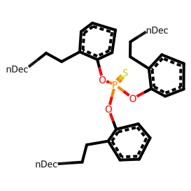 CCCCCCCCCCCCc1ccccc1OP(=S)(Oc1ccccc1CCCCCCCCCCCC)Oc1ccccc1CCCCCCCCCCCC